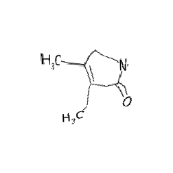 CC1=C(C)C(=O)[N]C1